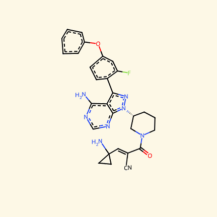 N#CC(=CC1(N)CC1)C(=O)N1CCC[C@@H](n2nc(-c3ccc(Oc4ccccc4)cc3F)c3c(N)ncnc32)C1